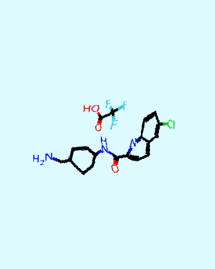 NCC1CCC(NC(=O)c2ccc3cc(Cl)ccc3n2)CC1.O=C(O)C(F)(F)F